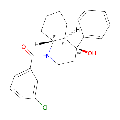 O=C(c1cccc(Cl)c1)N1CC[C@@](O)(c2ccccc2)[C@@H]2CCCC[C@H]21